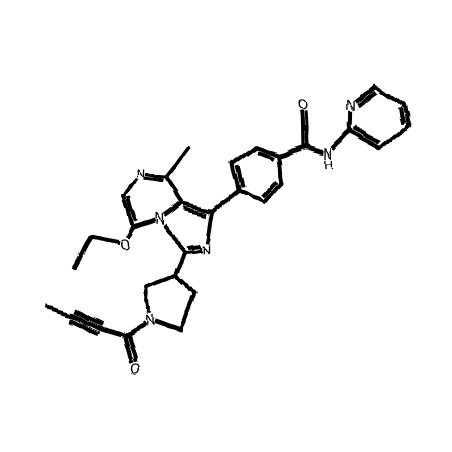 CC#CC(=O)N1CCC(c2nc(-c3ccc(C(=O)Nc4ccccn4)cc3)c3c(C)ncc(OCC)n23)C1